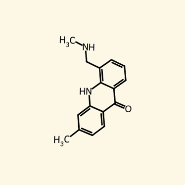 CNCc1cccc2c(=O)c3ccc(C)cc3[nH]c12